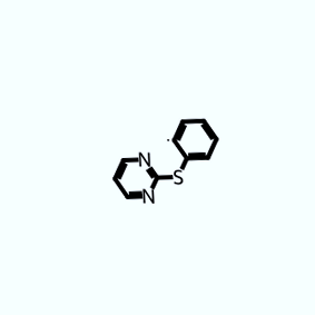 [c]1ccccc1Sc1ncccn1